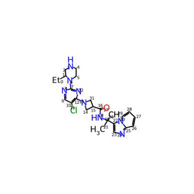 CCC1CNCCN1c1ncc(Cl)c(N2CC(C(=O)NC(C)(C)c3cnc4ccccn34)C2)n1